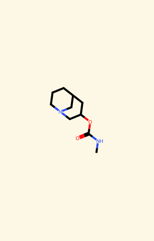 CNC(=O)OC1CC2CCCN(C2)C1